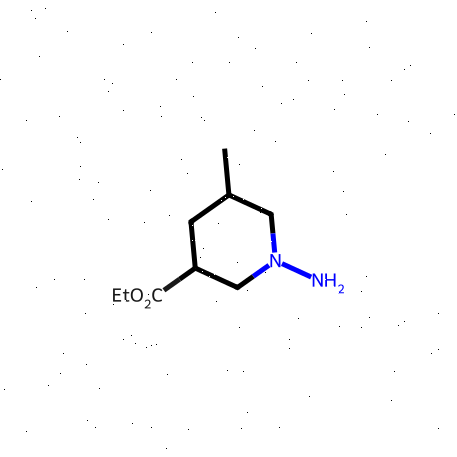 CCOC(=O)C1CC(C)CN(N)C1